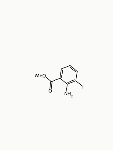 COC(=O)c1cccc(I)c1N